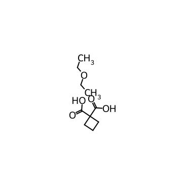 CCOCC.O=C(O)C1(C(=O)O)CCC1